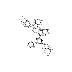 c1ccc(-c2cc(-c3ccc4ccccc4c3)nc(-n3c4ccccc4c4c5c6ccccc6n(-c6ccc7ccccc7c6)c5ccc43)n2)cc1